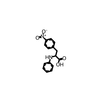 O=C(O)C(Cc1ccc([N+](=O)[O-])cc1)Nc1ccccc1